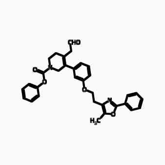 Cc1oc(-c2ccccc2)nc1CCOc1cccc(C2=C(CC=O)CCN(C(=O)Oc3ccccc3)C2)c1